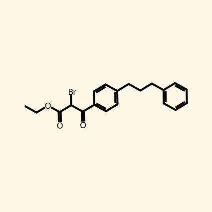 CCOC(=O)C(Br)C(=O)c1ccc(CCCc2ccccc2)cc1